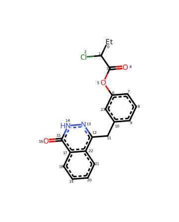 CCC(Cl)C(=O)Oc1cccc(Cc2n[nH]c(=O)c3ccccc23)c1